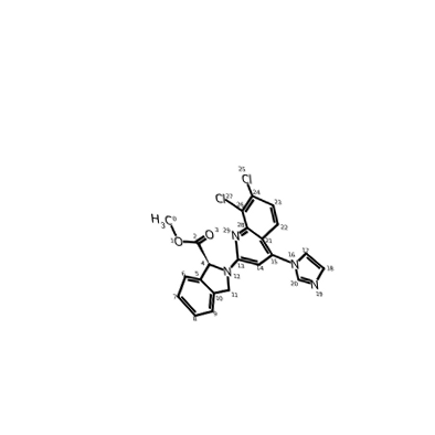 COC(=O)[C@@H]1c2ccccc2CN1c1cc(-n2ccnc2)c2ccc(Cl)c(Cl)c2n1